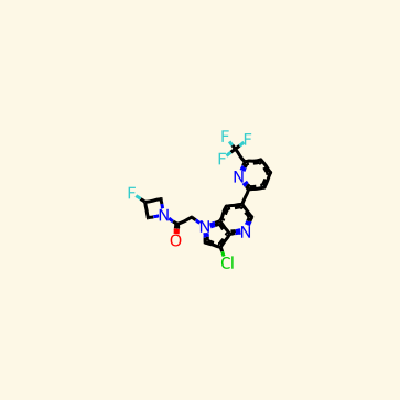 O=C(Cn1cc(Cl)c2ncc(-c3cccc(C(F)(F)F)n3)cc21)N1CC(F)C1